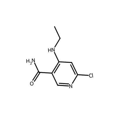 CCNc1cc(Cl)ncc1C(N)=O